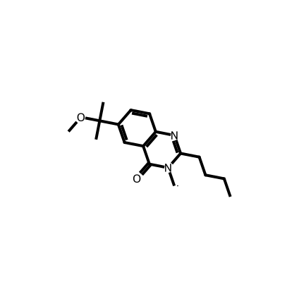 [CH2]n1c(CCCC)nc2ccc(C(C)(C)OC)cc2c1=O